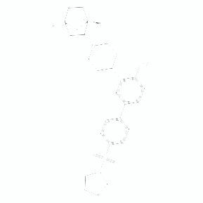 COc1ccc(-c2ccc(S(=O)(=O)N3CCCC3)cc2)cc1C1CCN(C2C[C@H]3CC[C@H]2C3)CC1